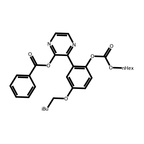 CCCCCCOC(=O)Oc1ccc(OCC(C)CC)cc1-c1nccnc1OC(=O)c1ccccc1